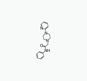 O=C(CN1CCN(c2ccccn2)CC1)Nc1ccccc1